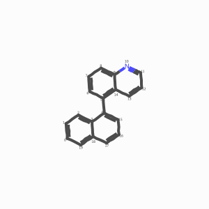 c1ccc2c(-c3cccc4ncccc34)cccc2c1